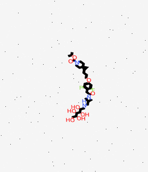 CC(C)OC(=O)N1CCC2(CC1)CC2CCCOc1cc(F)c(CC(=O)N2CC(CNC[C@H](O)[C@@H](O)[C@H](O)[C@H](O)CO)C2)c(F)c1